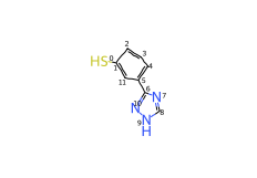 Sc1cccc(-c2nc[nH]n2)c1